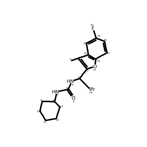 Cc1c(C(NC(=O)NC2CCCCC2)C(C)C)oc2ccc(F)cc12